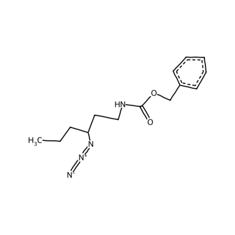 CCCC(CCNC(=O)OCc1ccccc1)N=[N+]=[N-]